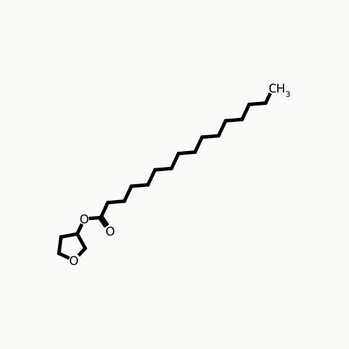 CCCCCCCCCCCCCCCC(=O)OC1CCOC1